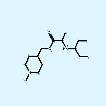 CCC(CC)NC(C)C(=O)OCC1CCN(C)CC1